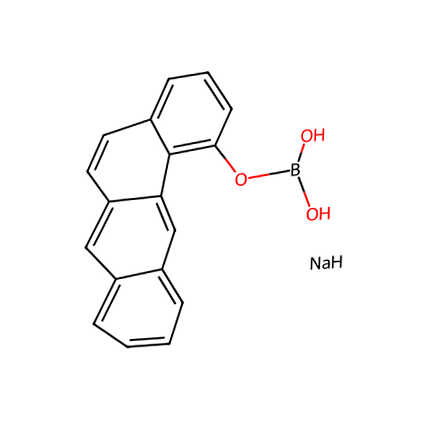 OB(O)Oc1cccc2ccc3cc4ccccc4cc3c12.[NaH]